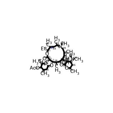 CC[C@H]1OC(=O)[C@H](C)[C@@H](O[C@H]2C[C@H](C)[C@@H](OC(C)=O)[C@H](C)O2)[C@H](C)[C@@H](O[C@@H]2O[C@H](C)C[C@H](N(C)C)[C@H]2O)[C@](C)(O)C[C@@H](C)CN(C)[C@H](C)/C=C/1C